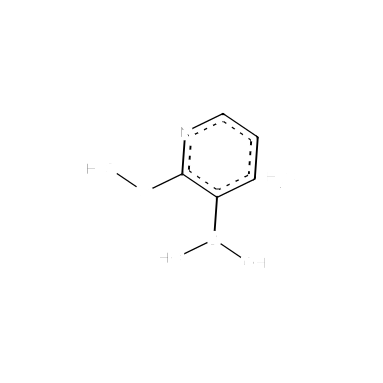 COc1ncccc1B(O)O.O